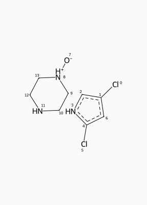 Clc1c[nH]c(Cl)c1.[O-][NH+]1CCNCC1